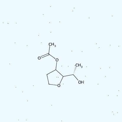 CC(=O)OC1CCOC1[C@H](C)O